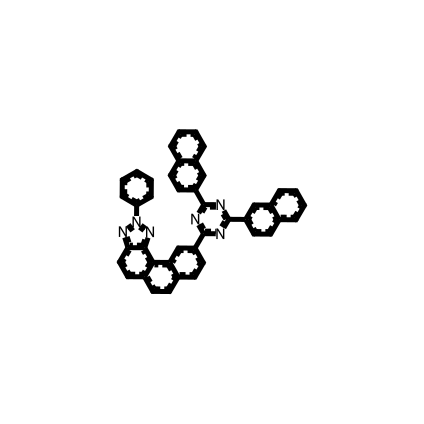 c1ccc(-n2nc3ccc4ccc5ccc(-c6nc(-c7ccc8ccccc8c7)nc(-c7ccc8ccccc8c7)n6)cc5c4c3n2)cc1